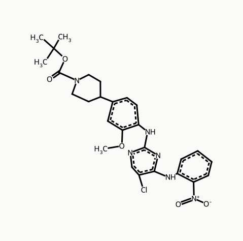 COc1cc(C2CCN(C(=O)OC(C)(C)C)CC2)ccc1Nc1ncc(Cl)c(Nc2ccccc2[N+](=O)[O-])n1